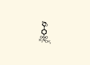 [CH2-][NH2+]S(=O)(=O)c1ccc(-c2cnco2)cc1